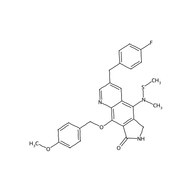 COc1ccc(COc2c3c(c(N(C)SC)c4cc(Cc5ccc(F)cc5)cnc24)CNC3=O)cc1